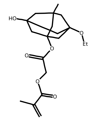 C=C(C)C(=O)OCC(=O)OC12CC3(C)CC(O)(CC(OCC)(C3)C1)C2